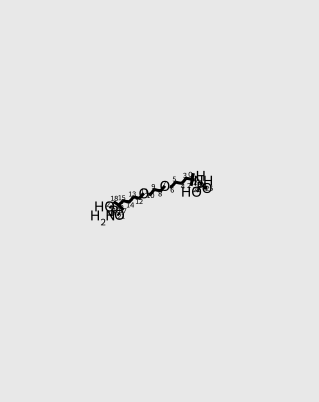 CC(C)(CCCCOCCCOCCCCC(C)(C)P(N)(=O)O)N[PH](=O)O